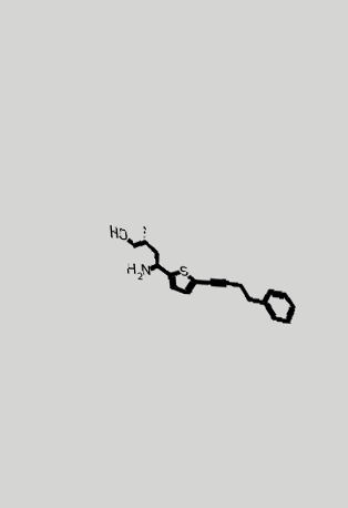 C[C@@H](CO)CC(N)c1ccc(C#CCCc2ccccc2)s1